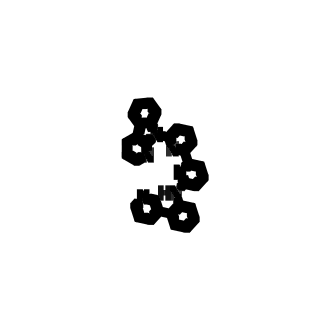 c1cncc(-c2ccccc2Nc2cccc(-c3cccc(-n4c5ccccc5c5cccnc54)n3)n2)c1